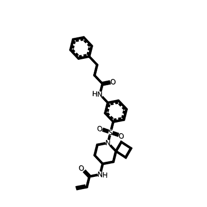 C=CC(=O)NC1CCN(S(=O)(=O)c2cccc(NC(=O)CCc3ccccc3)c2)C2(CCC2)C1